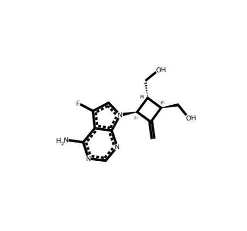 C=C1[C@@H](n2cc(F)c3c(N)ncnc32)[C@H](CO)[C@H]1CO